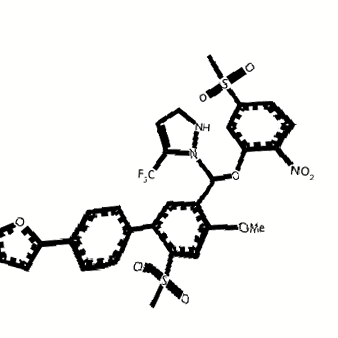 COc1cc(S(C)(=O)=O)c(-c2ccc(-c3ccco3)cc2)cc1C(Oc1cc(S(C)(=O)=O)ccc1[N+](=O)[O-])N1NCC=C1C(F)(F)F